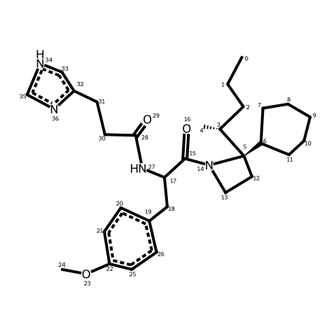 CCC[C@@H](C)[C@]1(C2CCCCC2)CCN1C(=O)C(Cc1ccc(OC)cc1)NC(=O)CCc1c[nH]cn1